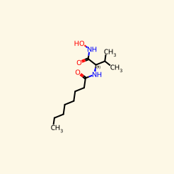 CCCCCCCC(=O)N[C@@H](C(=O)NO)C(C)C